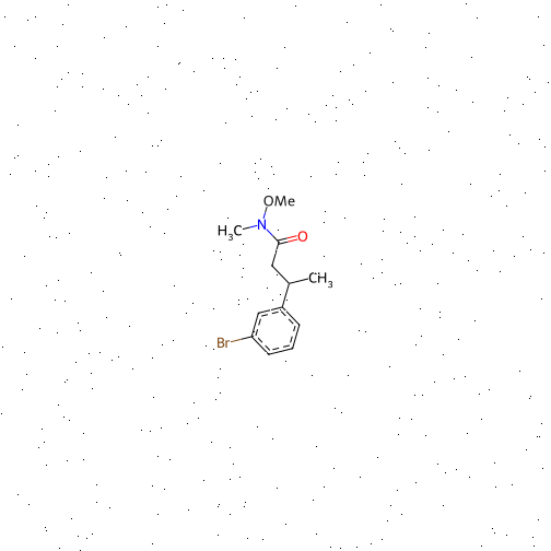 CON(C)C(=O)CC(C)c1cccc(Br)c1